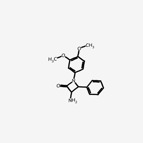 COc1ccc(N2C(=O)C(N)C2c2ccccc2)cc1OC